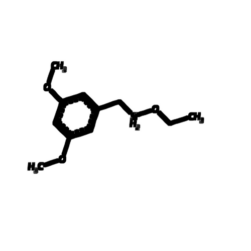 CCO[SiH2]Cc1cc(OC)cc(OC)c1